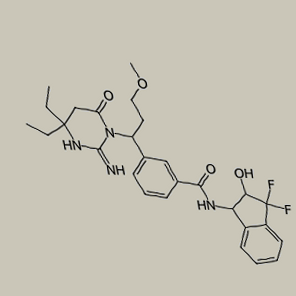 CCC1(CC)CC(=O)N(C(CCOC)c2cccc(C(=O)NC3c4ccccc4C(F)(F)C3O)c2)C(=N)N1